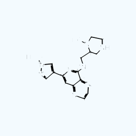 CN1CCNCC1CNc1nc(-c2cnn(C)c2)cc2nccnc12